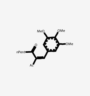 CCCCCC(=O)C(=Cc1cc(OC)c(OC)c(OC)c1)C(C)=O